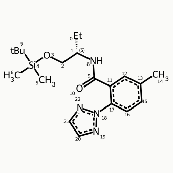 CC[C@@H](CO[Si](C)(C)C(C)(C)C)NC(=O)c1cc(C)ccc1-n1nccn1